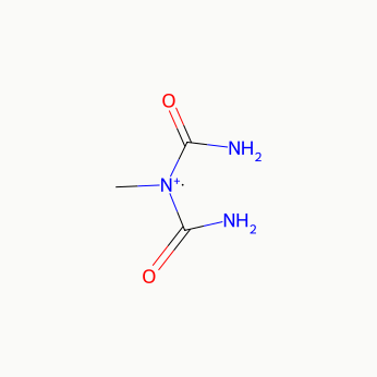 C[N+](C(N)=O)C(N)=O